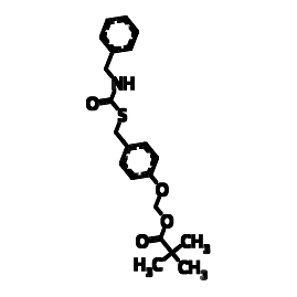 CC(C)(C)C(=O)OCOc1ccc(CSC(=O)NCc2ccccc2)cc1